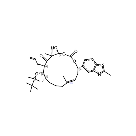 C=CC[C@H]1C(=O)C(C)(C)[C@@H](O)CC(=O)O[C@H](c2ccc3sc(C)nc3c2)C/C=C(\C)CCC[C@H](C)[C@@H]1O[Si](C)(C)C(C)(C)C